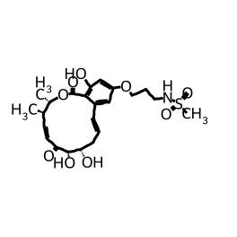 C[C@@H]1/C=C\C(=O)[C@@H](O)[C@@H](O)C/C=C/c2cc(OCCCNS(C)(=O)=O)cc(O)c2C(=O)O[C@H]1C